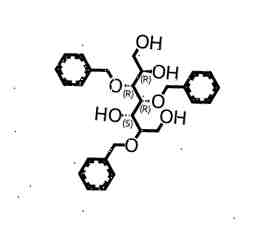 OCC(OCc1ccccc1)[C@H](O)[C@@H](OCc1ccccc1)[C@H](OCc1ccccc1)[C@H](O)CO